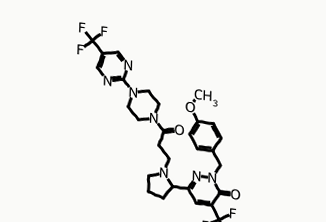 COc1ccc(Cn2nc(C3CCCN3CCC(=O)N3CCN(c4ncc(C(F)(F)F)cn4)CC3)cc(C(F)(F)F)c2=O)cc1